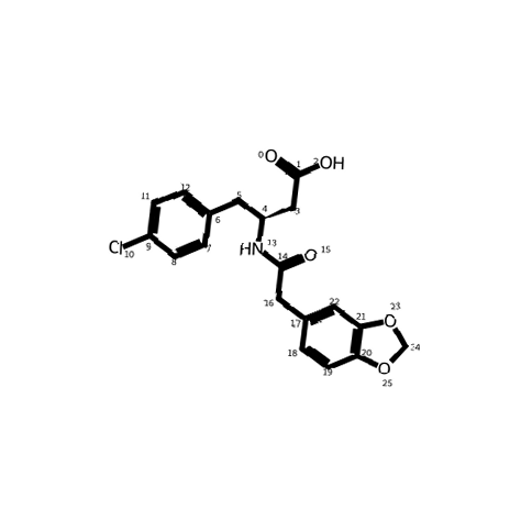 O=C(O)C[C@H](Cc1ccc(Cl)cc1)NC(=O)Cc1ccc2c(c1)OCO2